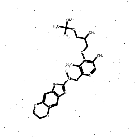 COC(C)(C)OCC(C)COc1c(C)cnc(C[S+]([O-])c2nc3cc4c(cc3[nH]2)OCCO4)c1C